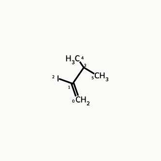 C=C(I)C(C)C